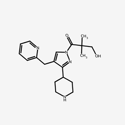 CC(C)(CO)C(=O)n1cc(Cc2ccccn2)c(C2CCNCC2)n1